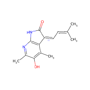 CC(C)=C/C=C1\C(=O)Nc2nc(C)c(O)c(C)c21